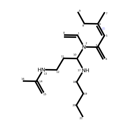 C=CN(C(=C)/C=C(/C)CC)C(CCNC(=C)C)NCCCC